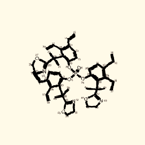 C=Cc1ccc(OP(=O)(Oc2ccc(C=C)c(C=C)c2C(C)(C)C2=NCCO2)Oc2ccc(C=C)c(C=C)c2C(C)(C)C2=NCCO2)c(C(C)(C)C2=NCCO2)c1C=C